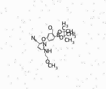 COCCNc1ccc(C#N)c(Oc2ccc(B3OC(C)(C)C(C)(C)O3)c(C=O)c2)n1